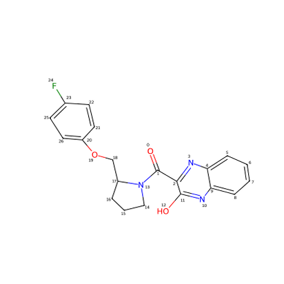 O=C(c1nc2ccccc2nc1O)N1CCCC1COc1ccc(F)cc1